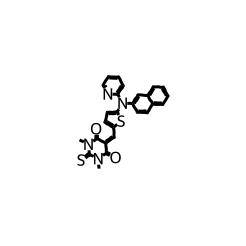 CN1C(=O)C(=Cc2ccc(N(c3ccc4ccccc4c3)c3ccccn3)s2)C(=O)N(C)C1=S